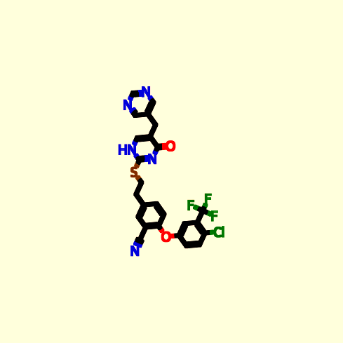 N#Cc1cc(CCSc2nc(=O)c(Cc3cncnc3)c[nH]2)ccc1Oc1ccc(Cl)c(C(F)(F)F)c1